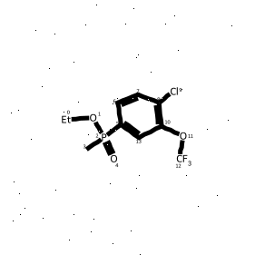 CCOP(C)(=O)c1ccc(Cl)c(OC(F)(F)F)c1